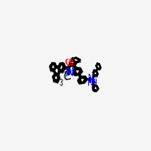 CN1c2cc(-c3cccc(-c4nc(-c5ccccc5)nc(-c5ccc(-c6ccccc6)cc5)n4)c3)ccc2-c2c(oc3ccccc23)C1c1ccc2c3ccccc3c3ccccc3c2c1